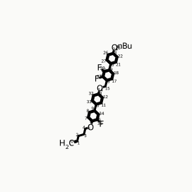 C=CCCCOc1ccc(-c2ccc(OCc3ccc(-c4ccc(OCCCC)cc4)c(F)c3F)cc2)cc1F